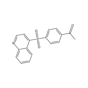 CC(=O)c1ccc(S(=O)(=O)c2ccnc3ccccc23)cc1